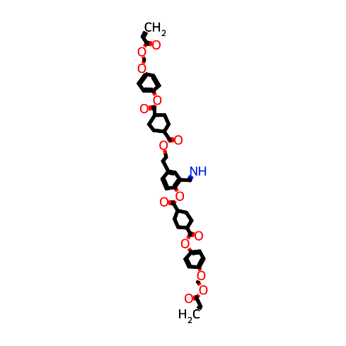 C=CC(=O)OCOc1ccc(OC(=O)C2CCC(C(=O)OCCc3ccc(OC(=O)C4CCC(C(=O)Oc5ccc(OCOC(=O)C=C)cc5)CC4)c(C=N)c3)CC2)cc1